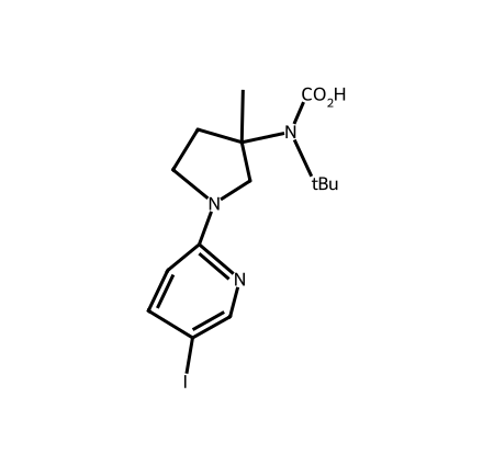 CC(C)(C)N(C(=O)O)C1(C)CCN(c2ccc(I)cn2)C1